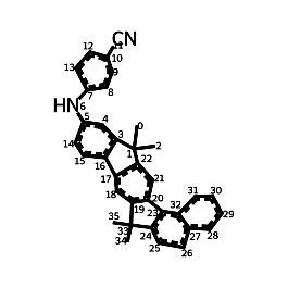 CC1(C)c2cc(Nc3ccc(C#N)cc3)ccc2-c2cc3c(cc21)-c1c(ccc2ccccc12)C3(C)C